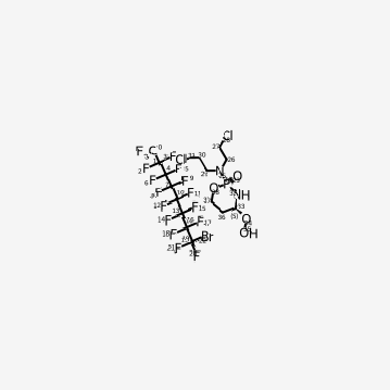 FC(F)(F)C(F)(F)C(F)(F)C(F)(F)C(F)(F)C(F)(F)C(F)(F)C(F)(F)Br.O=[P@@]1(N(CCCl)CCCl)N[C@@H](OO)CCO1